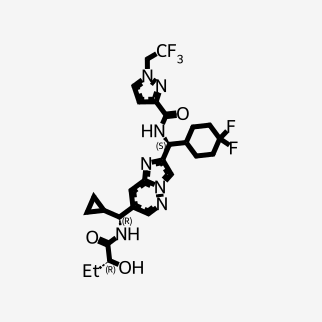 CC[C@@H](O)C(=O)N[C@@H](c1cnn2cc([C@@H](NC(=O)c3ccn(CC(F)(F)F)n3)C3CCC(F)(F)CC3)nc2c1)C1CC1